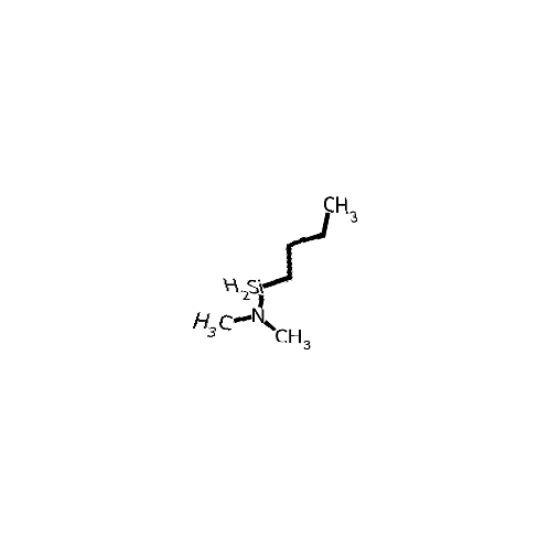 CCCC[SiH2]N(C)C